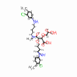 Cc1ccc(NCCCCCN(C)C(=O)C(OCCCCNc2ccc(C)c(Cl)c2)C(OCC(=O)O)C(=O)O)cc1Cl